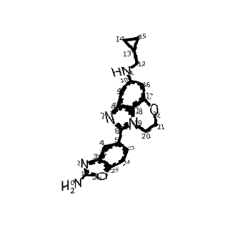 Nc1nc2cc(-c3nc4cc(NCC5CC5)cc5c4n3CCO5)ccc2o1